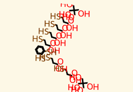 O=C(O)CCS.O=C(O)CCS.O=C(O)CCS.O=C(O)CCS.O=C(O)CCS.O=C(O)CCS.OCC(CO)(CO)CO.OCC(CO)(CO)CO.Sc1ccccc1S